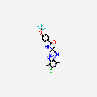 Cc1cc(Cl)c(C)c2nn(CC(C)(C#N)NC(=O)c3ccc(OC(F)(F)F)cc3)nc12